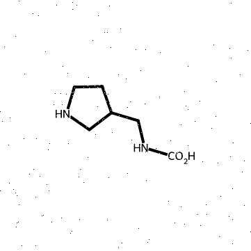 O=C(O)NCC1CCNC1